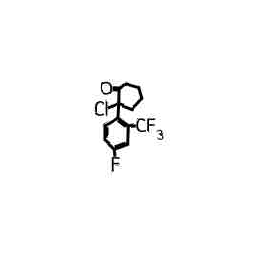 O=C1CCCCC1(Cl)c1ccc(F)cc1C(F)(F)F